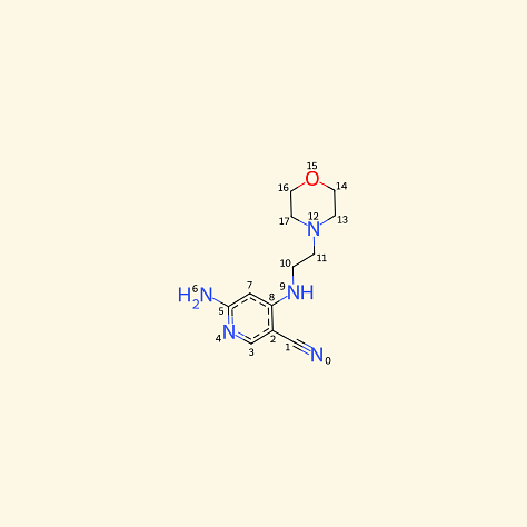 N#Cc1cnc(N)cc1NCCN1CCOCC1